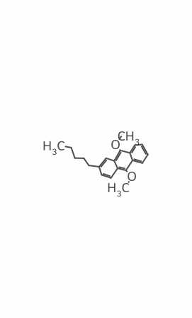 CCCCCc1ccc2c(OC)c3ccccc3c(OC)c2c1